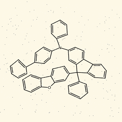 c1ccc(-c2ccc(N(c3ccccc3)c3ccc4c(c3)C(c3ccccc3)(c3ccc5c(c3)oc3ccccc35)c3ccccc3-4)cc2)cc1